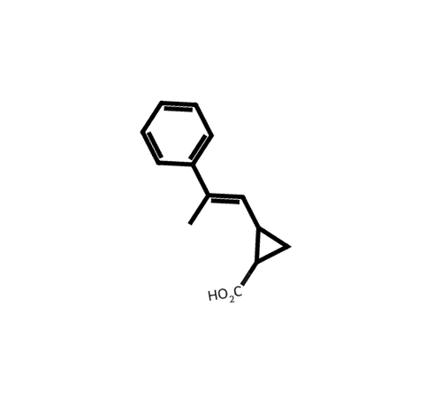 CC(=CC1CC1C(=O)O)c1ccccc1